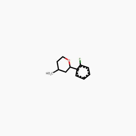 O=C(O)C1CCOC(c2ccccc2F)C1